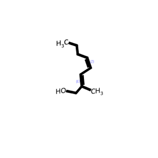 CCC/C=C\C=C(/C)CO